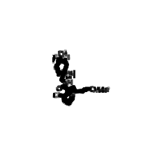 COCCc1cc(C(=O)NCC2(O)CCC(C)(F)CC2)c2c(Cl)cccn12